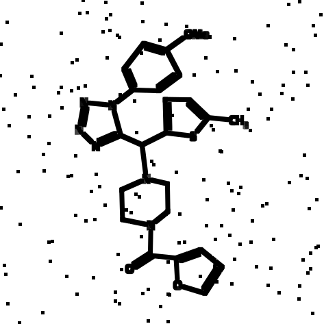 COc1ccc(-n2nnnc2C(c2ccc(C)s2)N2CCN(C(=O)c3ccco3)CC2)cc1